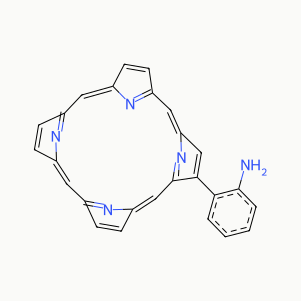 Nc1ccccc1C1=CC2=CC3=NC(=CC4=NC(=CC5=NC(=CC1=N2)C=C5)C=C4)C=C3